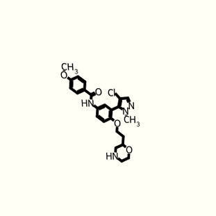 COc1ccc(C(=O)Nc2ccc(OCCC3CNCCO3)c(-c3c(Cl)cnn3C)c2)cc1